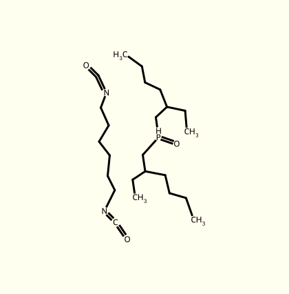 CCCCC(CC)C[PH](=O)CC(CC)CCCC.O=C=NCCCCCCN=C=O